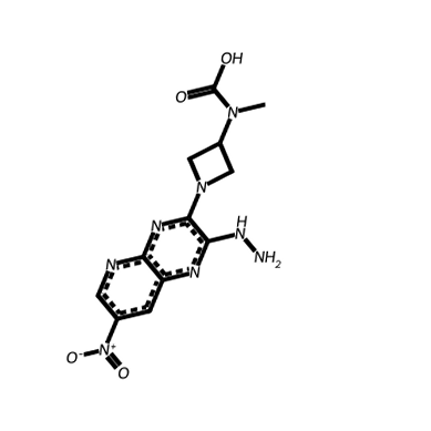 CN(C(=O)O)C1CN(c2nc3ncc([N+](=O)[O-])cc3nc2NN)C1